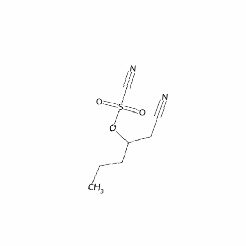 CCCC(CC#N)OS(=O)(=O)C#N